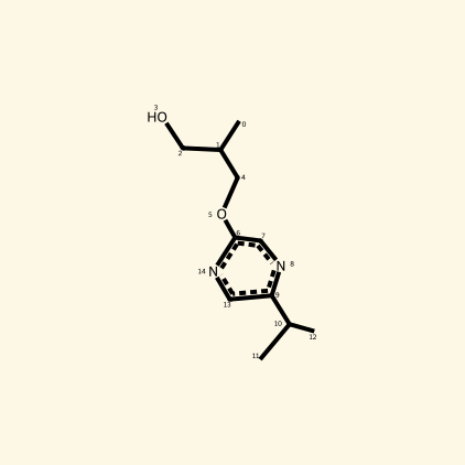 CC(CO)COc1cnc(C(C)C)cn1